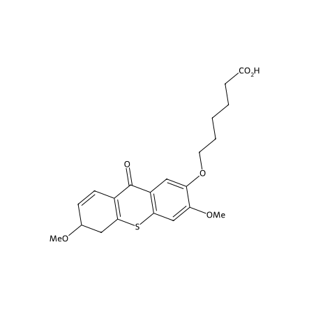 COc1cc2sc3c(c(=O)c2cc1OCCCCCC(=O)O)C=CC(OC)C3